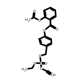 C#COP(=O)(OCC)OCc1ccc(OC(=O)c2ccccc2OC(C)=O)cc1